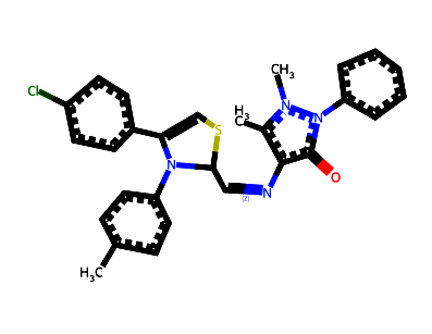 Cc1ccc(N2C(c3ccc(Cl)cc3)=CSC2/C=N\c2c(C)n(C)n(-c3ccccc3)c2=O)cc1